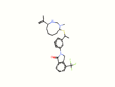 C=C(C)C1CCCCC(SC(C)c2cccc(N3Cc4c(cccc4C(F)(F)F)C3=O)c2)N(C)CN1